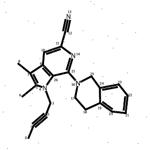 CC#CCn1c(C)c(C)c2cc(C#N)nc(N3CCc4ccccc4C3)c21